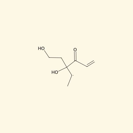 C=CC(=O)C(O)([CH]C)CCO